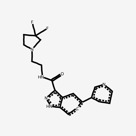 O=C(NCCN1CCC(F)(F)C1)c1n[nH]c2ccc(-c3cccnc3)cc12